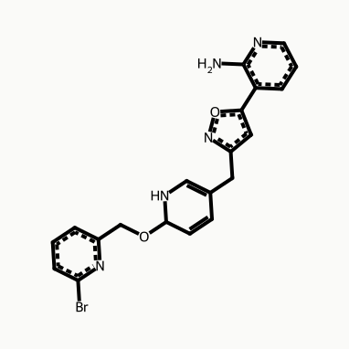 Nc1ncccc1-c1cc(CC2=CNC(OCc3cccc(Br)n3)C=C2)no1